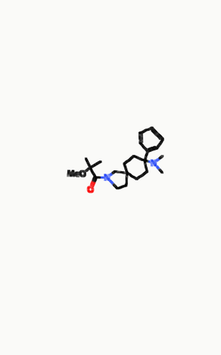 COC(C)(C)C(=O)N1CCC2(CCC(c3ccccc3)(N(C)C)CC2)C1